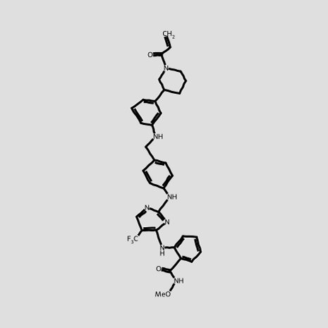 C=CC(=O)N1CCCC(c2cccc(NCc3ccc(Nc4ncc(C(F)(F)F)c(Nc5ccccc5C(=O)NOC)n4)cc3)c2)C1